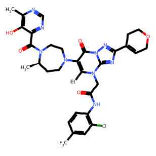 CCc1c(N2CC[C@@H](C)N(C(=O)c3ncnc(C)c3O)CC2)c(=O)n2nc(C3=CCOCC3)nc2n1CC(=O)Nc1ccc(C(F)(F)F)cc1Cl